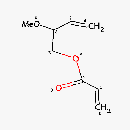 C=CC(=O)OCC(C=C)OC